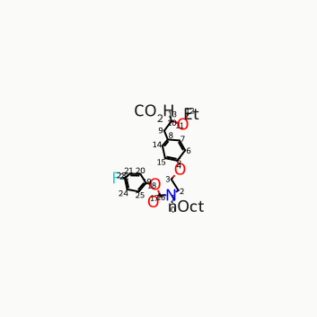 CCCCCCCCN(CCOc1ccc(CC(OCC)C(=O)O)cc1)C(=O)Oc1ccc(F)cc1